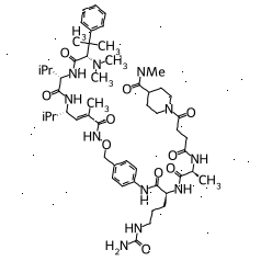 CNC(=O)C1CCN(C(=O)CCC(=O)N[C@@H](C)C(=O)N[C@@H](CCCNC(N)=O)C(=O)Nc2ccc(CONC(=O)/C(C)=C/[C@@H](NC(=O)[C@@H](NC(=O)[C@@H](N(C)C)C(C)(C)c3ccccc3)C(C)C)C(C)C)cc2)CC1